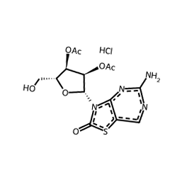 CC(=O)O[C@@H]1[C@H](OC(C)=O)[C@@H](CO)O[C@H]1n1c(=O)sc2cnc(N)nc21.Cl